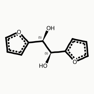 O[C@H](c1ccco1)[C@H](O)c1ccco1